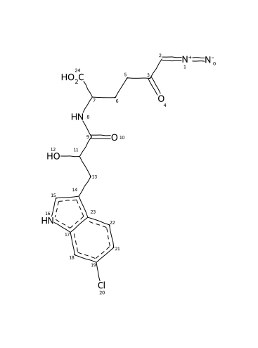 [N-]=[N+]=CC(=O)CCC(NC(=O)C(O)Cc1c[nH]c2cc(Cl)ccc12)C(=O)O